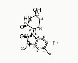 Cc1cc2c(cc1F)n([C@@H]1CCC(O)NC1=O)c(=O)n2C